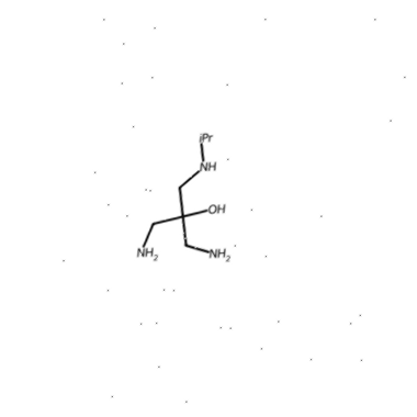 CC(C)NCC(O)(CN)CN